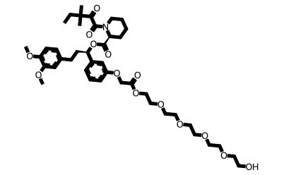 CCC(C)(C)C(=O)C(=O)N1CCCC[C@H]1C(=O)O[C@H](CCc1ccc(OC)c(OC)c1)c1cccc(OCC(=O)OCCOCCOCCOCCOCCO)c1